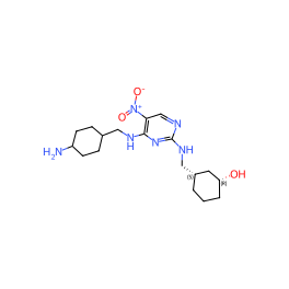 NC1CCC(CNc2nc(NC[C@H]3CCC[C@@H](O)C3)ncc2[N+](=O)[O-])CC1